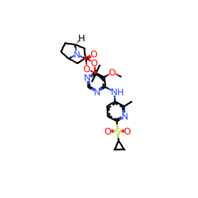 COc1c(Nc2ccc(S(=O)(=O)C3CC3)nc2C)ncnc1OC1CC2CC[C@@H](C1)N2C(=O)OC(C)(C)C